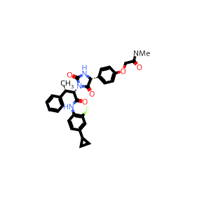 CNC(=O)COc1ccc([C@H]2NC(=O)N([C@H](C(=O)Nc3ccc(C4CC4)cc3F)[C@@H](C)c3ccccc3)C2=O)cc1